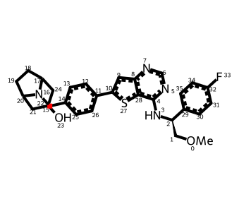 COC[C@@H](Nc1ncnc2cc(-c3ccc(CN4C5CCC4CC(O)C5)cc3)sc12)c1ccc(F)cc1